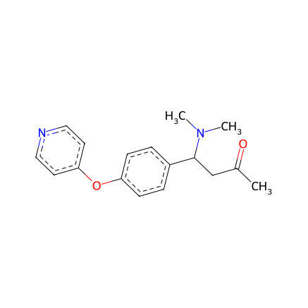 CC(=O)CC(c1ccc(Oc2ccncc2)cc1)N(C)C